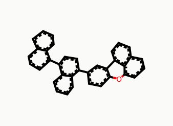 c1ccc2c(-c3ccc(-c4ccc5c(c4)-c4cccc6cccc(c46)O5)c4ccccc34)cccc2c1